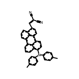 Cc1ccc(N(c2ccc(C)cc2)c2ccc3c4ccc(C=C(C#N)C#N)c5cccc(c6cccc2c63)c54)cc1